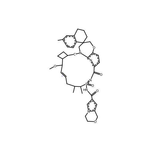 COC1/C=C/CC(C)C(C)S(=O)(NC(=O)c2cc3n(c2)CCOC3)=NC(=O)c2ccc3c(n2)N(CC2CCC21)CC1(CCCc2cc(C)ccc21)CO3